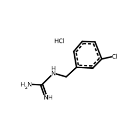 Cl.N=C(N)NCc1cccc(Cl)c1